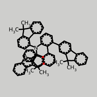 CC1(C)c2ccccc2-c2ccc(-c3cccc(N(c4cccc5c4-c4ccccc4C5(C)C)c4cccc5c4oc4ccccc45)c3-c3cccc4c3-c3ccccc3C4(C)C)cc21